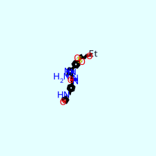 CCOCCC(C)S(=O)(=O)c1ccc(-c2cnc(N)c(-c3nnc(-c4ccc(CN[C@H]5CCOC5)cc4)o3)n2)cc1